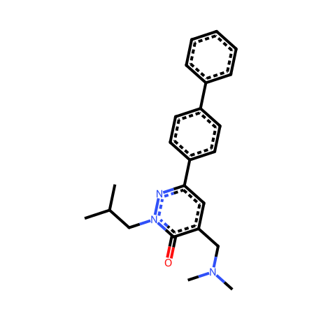 CC(C)Cn1nc(-c2ccc(-c3ccccc3)cc2)cc(CN(C)C)c1=O